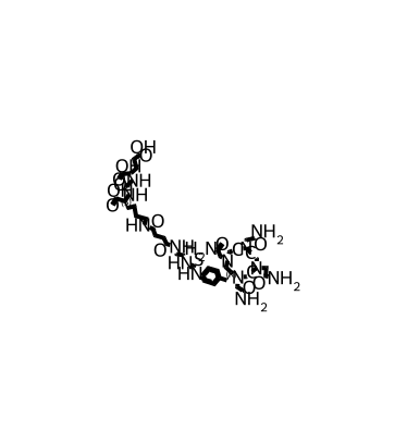 NC(=O)CN1CCN(CC(N)=O)CCN(CC(N)=O)[C@H](Cc2ccc(NC(=S)NCCNC(=O)CCC(=O)NCCCC[C@H](NC(=O)NC(CCC(=O)O)C(=O)O)C(=O)O)cc2)CN(CC(N)=O)CC1